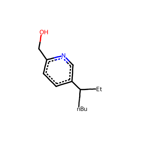 CCCCC(CC)c1ccc(CO)nc1